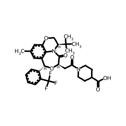 Cc1cc2c3c(c1)[C@@H](c1ccccc1C(F)(F)F)O[C@H](CC(=O)N1CCC(C(=O)O)CC1)C(=O)N3[C@H](C(C)(C)C)CO2